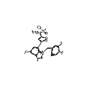 Cc1cn(Cc2ccc(F)c(F)c2)c2c(-c3cc(NS(C)(=O)=O)no3)cc(F)cc12